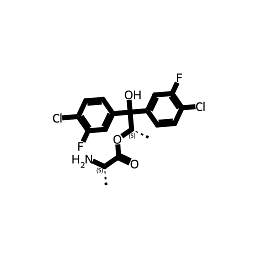 C[C@H](N)C(=O)O[C@@H](C)C(O)(c1ccc(Cl)c(F)c1)c1ccc(Cl)c(F)c1